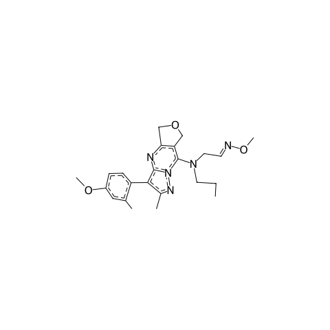 CCCN(CC=NOC)c1c2c(nc3c(-c4ccc(OC)cc4C)c(C)nn13)COC2